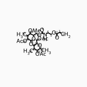 C=CC(=O)OCCNC(=O)OCC1OC(OC2C(COC(C)=O)OC(C)C(OC(C)=O)C2C)C(OC(C)=O)C(C)C1OC